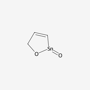 [O]=[Sn]1[CH]=CC[O]1